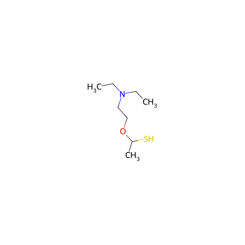 CCN(CC)CCOC(C)S